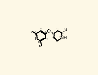 Cc1cc(O[C@H]2CCN[C@@H](C)C2)cc(C)n1